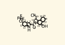 O=C(c1cc2cc(OC(F)(F)F)ccc2[nH]1)N1CC(CCl)c2c1cc(O)c1ccccc21